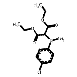 CCOC(=O)C(C(=O)OCC)N(C)c1ccc(Cl)cc1